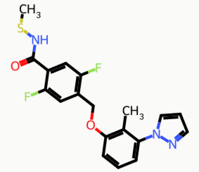 CSNC(=O)c1cc(F)c(COc2cccc(-n3cccn3)c2C)cc1F